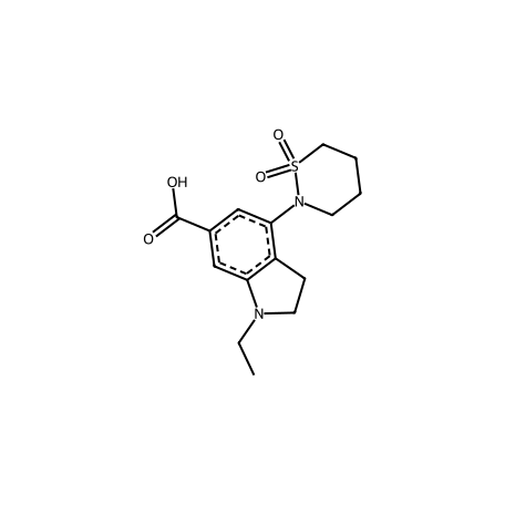 CCN1CCc2c1cc(C(=O)O)cc2N1CCCCS1(=O)=O